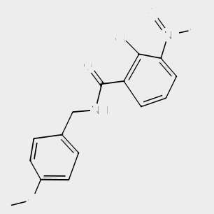 COc1ccc(CNC(=O)c2cccc([N+](=O)[O-])c2Cl)cc1